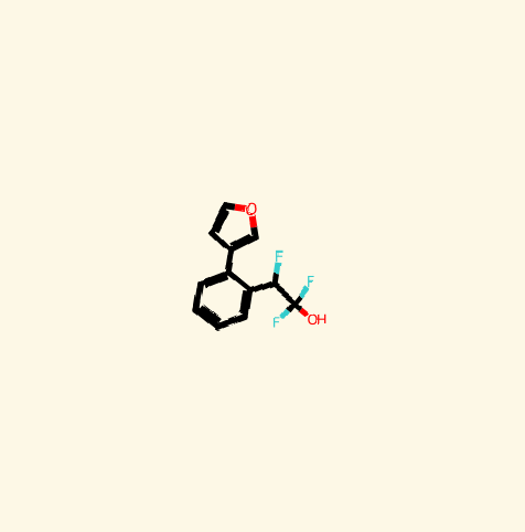 OC(F)(F)C(F)c1ccccc1-c1ccoc1